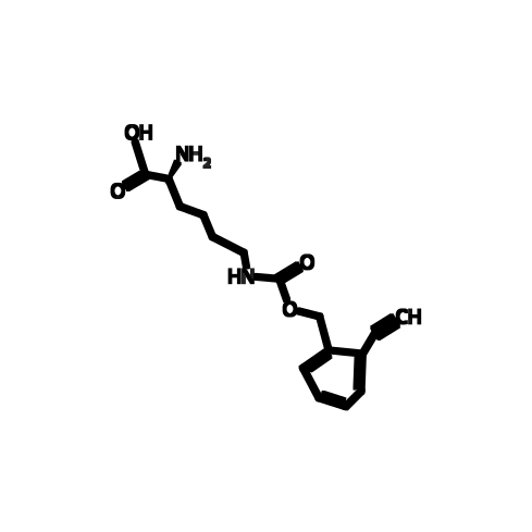 C#Cc1ccccc1COC(=O)NCCCC[C@H](N)C(=O)O